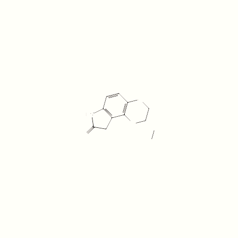 O=C1Cc2c(ccc3c2O[C@@H](CI)CO3)N1